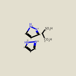 O=C(O)CS(=O)(=O)O.c1cn[nH]c1.c1cn[nH]c1